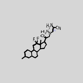 CC1CCC2C(CCC3C2CC(F)(F)C2(C)C(C(=O)CN(N)/C=C(\N)C#N)CCC32)C1